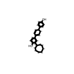 Oc1ccc(C2C=CC(c3ccc(O)c(C4CCCCCCC4)c3)=CC2)cc1